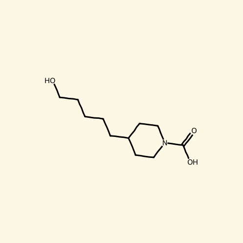 O=C(O)N1CCC(CCCCCO)CC1